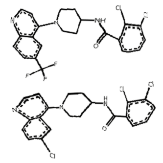 O=C(NC1CCN(c2ccnc3ccc(C(F)(F)F)cc23)CC1)c1cccc(Cl)c1Cl.O=C(NC1CCN(c2ccnc3ccc(Cl)cc23)CC1)c1cccc(Cl)c1Cl